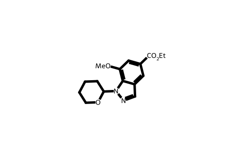 CCOC(=O)c1cc(OC)c2c(cnn2C2CCCCO2)c1